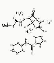 CNCC(=O)N[C@H](C)[C@H]1C(=O)N2C(C(=O)O)=C(S[C@@H]3CN[C@H](C(=O)NC4CCOCC4)C3)[C@H](C)[C@H]12